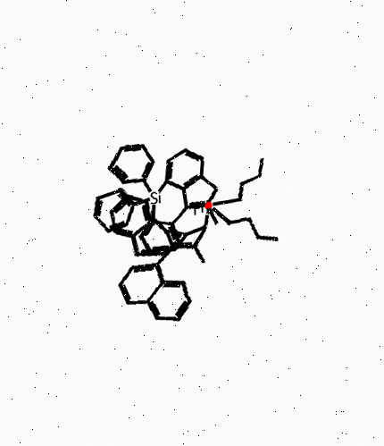 CCC[CH2][Hf]1([CH2]CCC)[CH]2C(C)=C(c3cccc4ccccc34)c3c2cccc3[Si](c2ccccc2)(c2ccccc2)c2cccc3c2C(c2cccc4ccccc24)=C(C)[CH]31